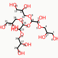 OCC(O)COC(O)C(OCC(O)CO)OC(OCC(O)CO)C(O)OCC(O)CO